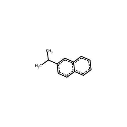 CC(C)c1[c]cc2ccccc2c1